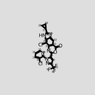 O=c1oc(-c2cc(C(F)(F)F)nn2-c2ncccc2Cl)nc2c(Cl)c3[nH]c(C4CC4)nc3cc12